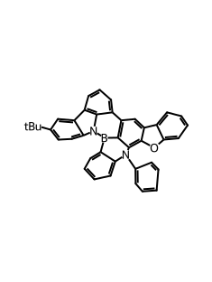 CC(C)(C)c1ccc2c(c1)c1cccc3c1n2B1c2ccccc2N(c2ccccc2)c2c1c-3cc1c2oc2ccccc21